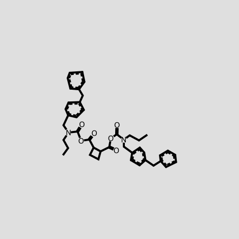 CCCN(Cc1ccc(Cc2ccccc2)cc1)C(=O)OC(=O)C1CCC1C(=O)OC(=O)N(CCC)Cc1ccc(Cc2ccccc2)cc1